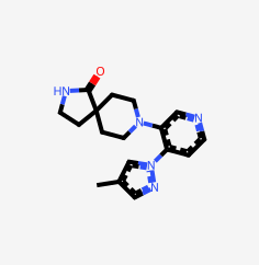 Cc1cnn(-c2ccncc2N2CCC3(CCNC3=O)CC2)c1